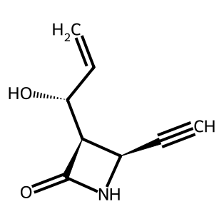 C#C[C@H]1NC(=O)[C@H]1[C@H](O)C=C